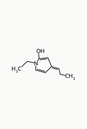 CCC=C1C=CN(CC)C(O)=C1